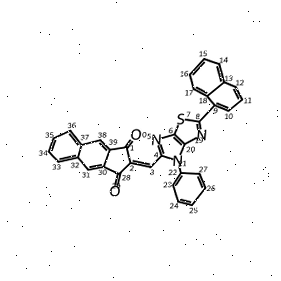 O=C1C(=Cc2nc3sc(-c4cccc5ccccc45)nc3n2-c2ccccc2)C(=O)c2cc3ccccc3cc21